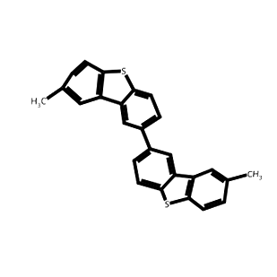 Cc1ccc2sc3ccc(-c4ccc5sc6ccc(C)cc6c5c4)cc3c2c1